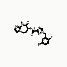 CN1C(=O)[C@@H](NC(=O)c2ncn(Cc3cc(F)ccc3F)n2)CCn2ccnc21